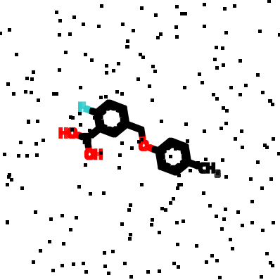 Cc1ccc(OCc2ccc(F)c(B(O)O)c2)cc1